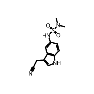 CN(C)S(=O)(=O)Nc1ccc2[nH]cc(CC#N)c2c1